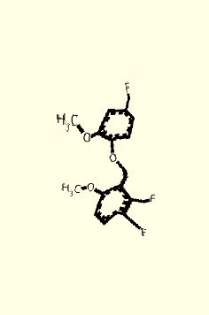 COc1cc(F)ccc1OCc1c(OC)ccc(F)c1F